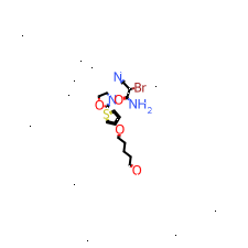 C1=NCCO1.N#CC(Br)C(N)=O.O=CCCCC=O.c1ccsc1